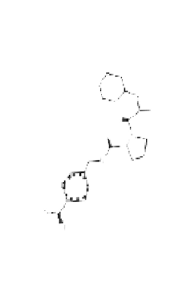 CC(NC1CCCCC1)C(=O)N1CCC[C@H]1C(=O)NCc1ccc(C(=N)N)cc1